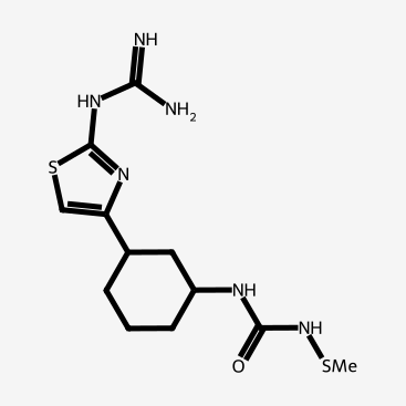 CSNC(=O)NC1CCCC(c2csc(NC(=N)N)n2)C1